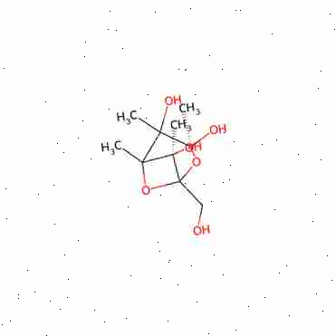 CC12OC(CO)(O[C@](C)(O)C1(C)O)[C@]2(C)O